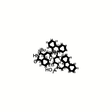 CCC(CC(=O)Nc1ccccc1-c1ccccc1NC(=O)C=C1c2ccccc2C(=O)NC1C(C)CC)CN(CC1c2ccccc2-c2ccccc21)C(=O)O